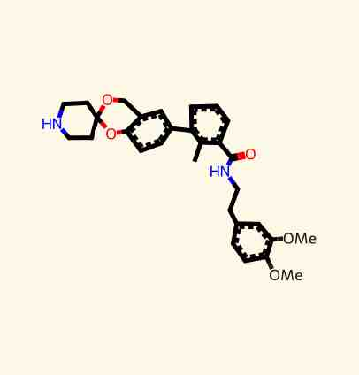 COc1ccc(CCNC(=O)c2cccc(-c3ccc4c(c3)COC3(CCNCC3)O4)c2C)cc1OC